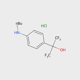 CCCCNc1ccc(C(O)(C(F)(F)F)C(F)(F)F)cc1.Cl